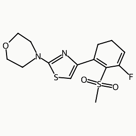 CS(=O)(=O)C1=C(c2csc(N3CCOCC3)n2)CCC=C1F